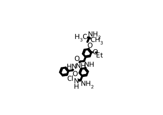 CCOc1cc(C(Nc2ccc(C(=N)N)cc2)C(=O)NNC(=O)c2ccccc2Cl)ccc1OCC(C)(C)N